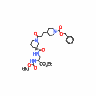 CCOC(=O)C(CNC(=O)[C@@H]1CCCN(C(=O)CCC2CCN(C(=O)OCc3ccccc3)CC2)C1)NC(=O)OC(C)(C)C